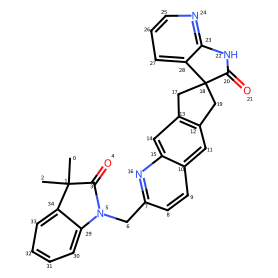 CC1(C)C(=O)N(Cc2ccc3cc4c(cc3n2)CC2(C4)C(=O)Nc3ncccc32)c2ccccc21